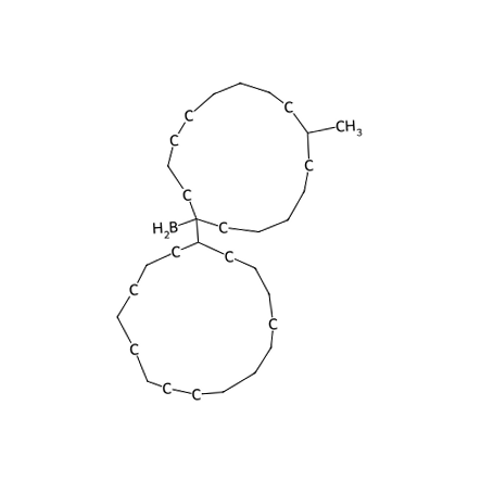 BC1(C2CCCCCCCCCCCCCCC2)CCCCCCCCC(C)CCCCC1